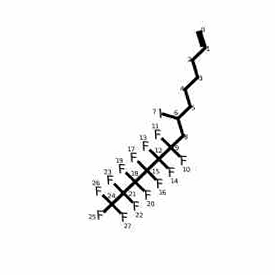 C=CCCCCC(I)CC(F)(F)C(F)(F)C(F)(F)C(F)(F)C(F)(F)C(F)(F)F